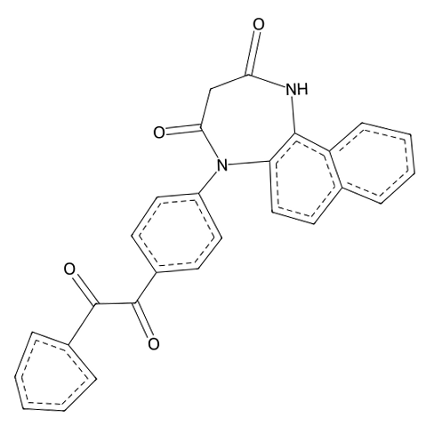 O=C1CC(=O)N(c2ccc(C(=O)C(=O)c3ccccc3)cc2)c2ccc3ccccc3c2N1